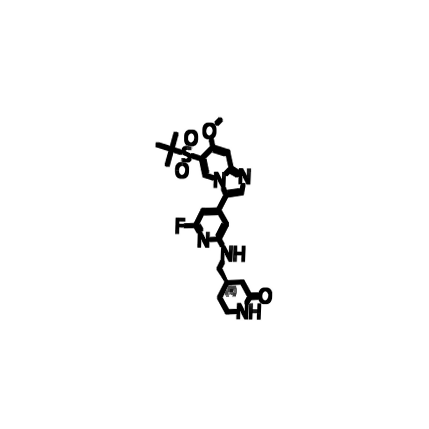 COc1cc2ncc(-c3cc(F)nc(NC[C@@H]4CCNC(=O)C4)c3)n2cc1S(=O)(=O)C(C)(C)C